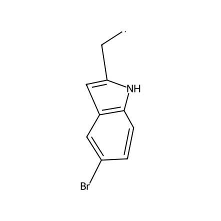 [CH2]Cc1cc2cc(Br)ccc2[nH]1